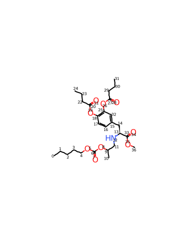 CCCCCOC(=O)OC(C)CN[C@@H](Cc1ccc(OC(=O)CCC)c(OC(=O)CCC)c1)C(=O)OC